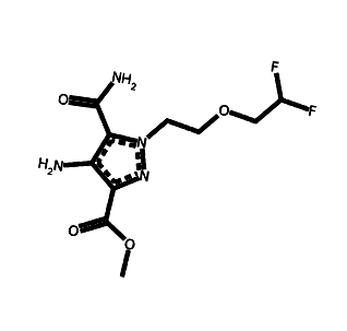 COC(=O)c1nn(CCOCC(F)F)c(C(N)=O)c1N